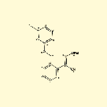 CON=C(C#N)c1ccccc1COc1cccc(F)c1